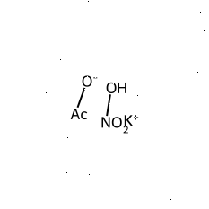 CC(=O)[O-].O=[N+]([O-])O.[K+]